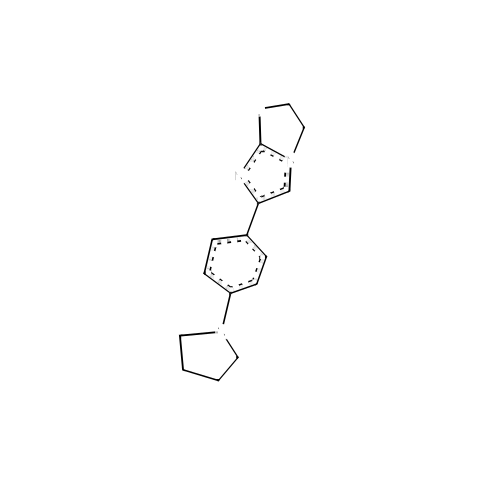 c1cc(N2CCCC2)ccc1-c1cn2c(n1)SCC2